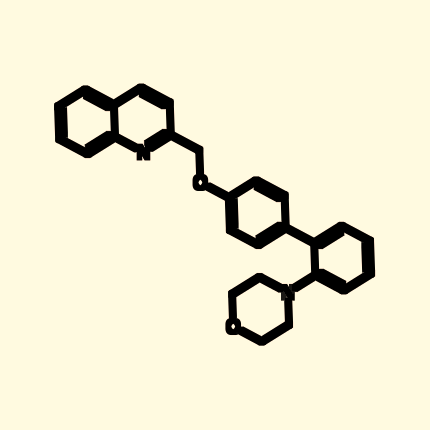 c1ccc(N2CCOCC2)c(-c2ccc(OCc3ccc4ccccc4n3)cc2)c1